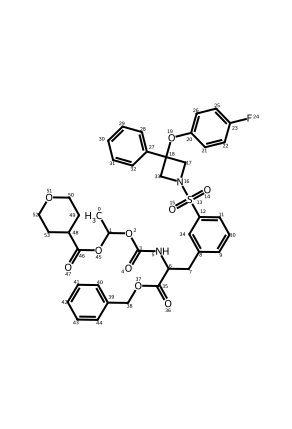 CC(OC(=O)NC(Cc1cccc(S(=O)(=O)N2CC(Oc3ccc(F)cc3)(c3ccccc3)C2)c1)C(=O)OCc1ccccc1)OC(=O)C1CCOCC1